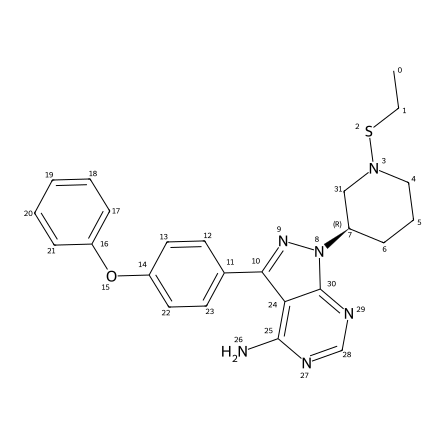 CCSN1CCC[C@@H](n2nc(-c3ccc(Oc4ccccc4)cc3)c3c(N)ncnc32)C1